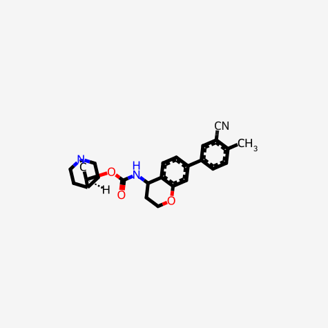 Cc1ccc(-c2ccc3c(c2)OCCC3NC(=O)O[C@@H]2CN3CCC2CC3)cc1C#N